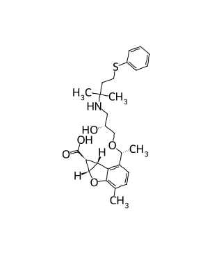 Cc1ccc([C@@H](C)OC[C@H](O)CNC(C)(C)CCSc2ccccc2)c2c1O[C@@H]1[C@@H](C(=O)O)[C@H]21